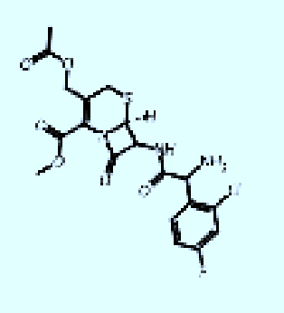 COC(=O)C1=C(COC(C)=O)CS[C@H]2C(NC(=O)C(N)c3ccc(F)cc3Cl)C(=O)N12